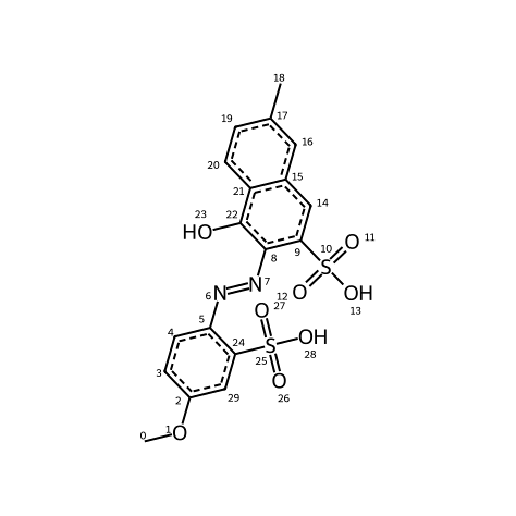 COc1ccc(N=Nc2c(S(=O)(=O)O)cc3cc(C)ccc3c2O)c(S(=O)(=O)O)c1